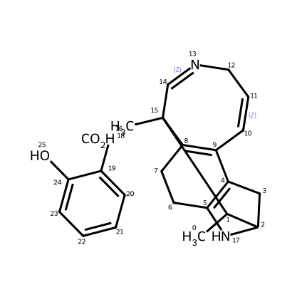 CC1C2CC3=C(CCC4=C3/C=C\C/N=C\C41C)N2.O=C(O)c1ccccc1O